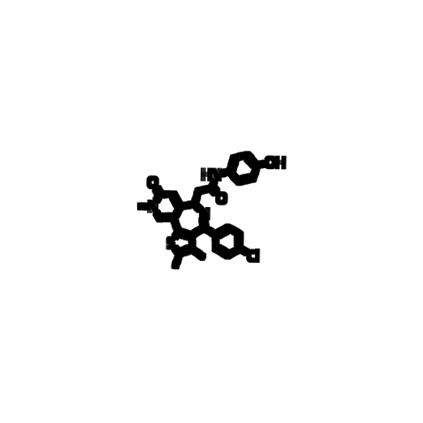 Cc1sc2c(c1C)C(c1ccc(Cl)cc1)=NC(CC(=O)Nc1ccc(O)cc1)c1cc(=O)n(C)cc1-2